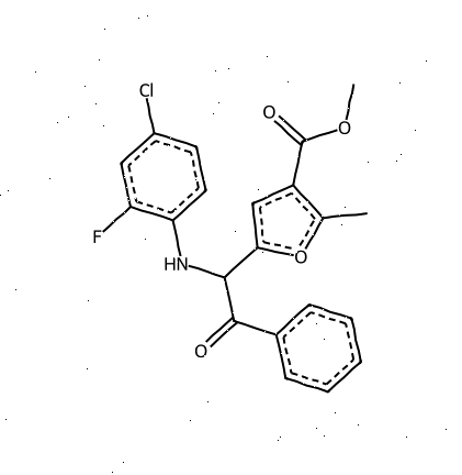 COC(=O)c1cc(C(Nc2ccc(Cl)cc2F)C(=O)c2ccccc2)oc1C